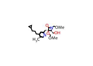 COCO[C@@]1(Cc2cc(CCCC3CC3)c(C)cn2)C(=O)N(COC)[C@H]1CO